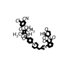 CC1(C)[C@H](NC(=O)c2ccc(N3CCC(CC4CN(c5cccc6c5C(=O)N(C5CCC(=O)NC5=O)C6=O)C4)CC3)cc2)C(C)(C)[C@H]1Oc1ccc(C#N)c(Cl)c1